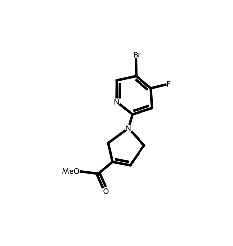 COC(=O)C1=CCN(c2cc(F)c(Br)cn2)C1